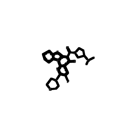 CN(C)C1CCN(C(=O)c2c(=O)c3cc(F)c(N4CCOCC4)nc3n3c2sc2ccccc23)C1